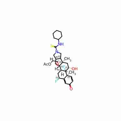 CC(=O)OCC(=O)[C@@]12CN(C(=S)NC3CCCCC3)C[C@@H]1C[C@H]1[C@@H]3C[C@H](F)C4=CC(=O)C=C[C@]4(C)[C@@]3(F)[C@@H](O)C[C@@]12C